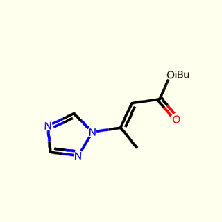 CC(=CC(=O)OCC(C)C)n1cncn1